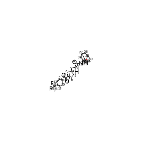 O=C(NCC1CCN(S(=O)(=O)c2ccc(C(F)(F)F)cc2)C1)NC12CC3CC(CC(C3)C1)C2